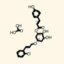 O=C(/C=C/c1ccc(O)cc1)O[C@@H]1C[C@@H](OC/C=C/c2ccccc2Cl)C[C@H](O)[C@H]1O.O=C(O)O